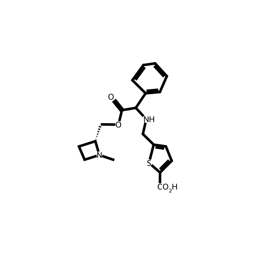 CN1CC[C@@H]1COC(=O)C(NCc1ccc(C(=O)O)s1)c1ccccc1